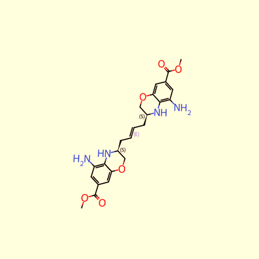 COC(=O)c1cc(N)c2c(c1)OC[C@H](C/C=C/C[C@H]1COc3cc(C(=O)OC)cc(N)c3N1)N2